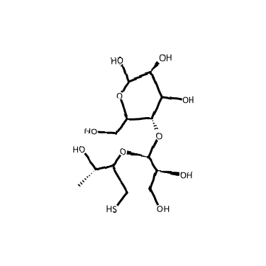 C[C@H](O)C(CS)O[C@@H](O[C@@H]1C(CO)OC(O)[C@@H](O)C1O)[C@@H](O)CO